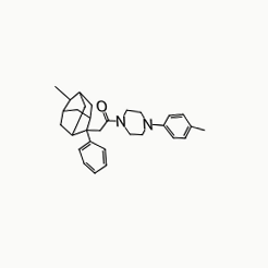 Cc1ccc(N2CCN(C(=O)CC3(c4ccccc4)C4CC5CC3CC(C4)C5C)CC2)cc1